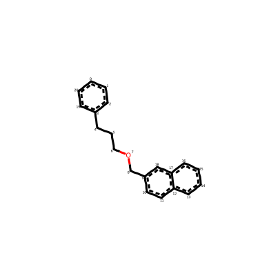 c1ccc(CCCOCc2ccc3ccccc3c2)cc1